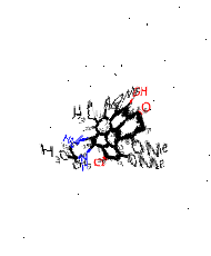 COc1c(O)c2c(=O)cc(OC)c3c4c(OC)cc(=O)c5c6c(c7c(c(c1C(C(C)=O)C(C)=C7)c23)c54)NCC(C)(C)N6